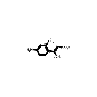 CC(=CC(=O)O)c1ccc(N)cc1C